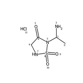 CC(N)N1C(=O)CNS1(=O)=O.Cl